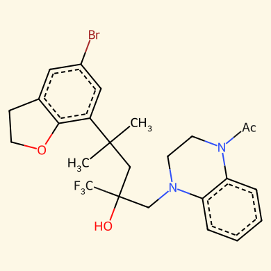 CC(=O)N1CCN(CC(O)(CC(C)(C)c2cc(Br)cc3c2OCC3)C(F)(F)F)c2ccccc21